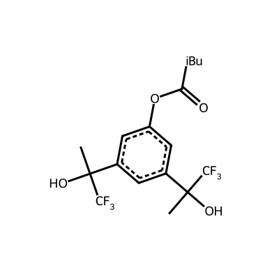 CCC(C)C(=O)Oc1cc(C(C)(O)C(F)(F)F)cc(C(C)(O)C(F)(F)F)c1